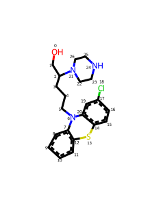 OCC(CCCN1c2ccccc2Sc2ccc(Cl)cc21)N1CCNCC1